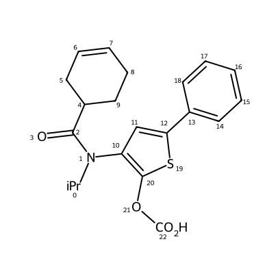 CC(C)N(C(=O)C1CC=CCC1)c1cc(-c2ccccc2)sc1OC(=O)O